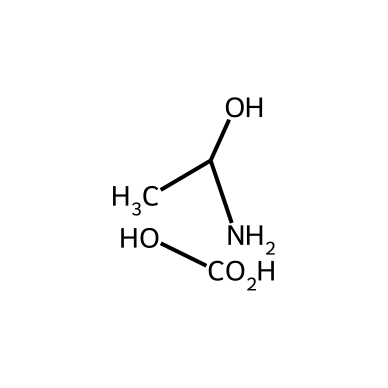 CC(N)O.O=C(O)O